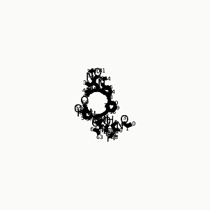 C=CC(=O)N1C[C@@H](C(=O)N(C)[C@H](C(=O)N[C@H]2Cc3cccc(c3)-c3ccc4c(c3)c(c(/C(C=C)=C(/N=C\C)[C@H](C)OC)n4CC)CC(C)(C)COC[C@@]3(C=O)CCCN(N3)C2=O)C(C)C)[C@@H](C(F)(F)F)C1